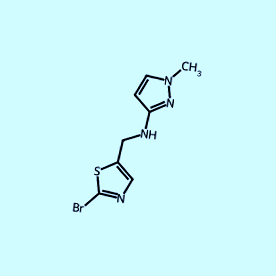 Cn1ccc(NCc2cnc(Br)s2)n1